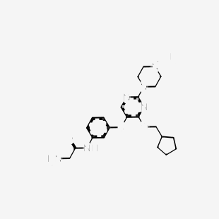 CN1CCN(c2ncc(Sc3cccc(NC(=O)CN)c3)c(OCC3CCCC3)n2)CC1